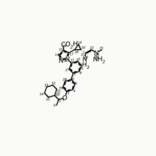 CC(Oc1ccc(-c2cccc(-n3ncc(C(=O)O)c3C3C[C@@H]3/C(N)=C/N(C)N)c2)cc1)C1CCCCC1